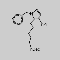 CCCCCCCCCCCCCCCC1N(CCC)C=CN1Cc1ccccc1